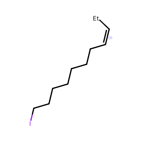 CC/C=C\CCCCCCCI